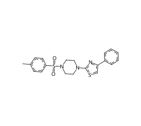 Cc1ccc(S(=O)(=O)N2CCN(c3nc(-c4ccccc4)cs3)CC2)cc1